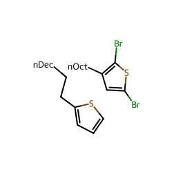 CCCCCCCCCCCCc1cccs1.CCCCCCCCc1cc(Br)sc1Br